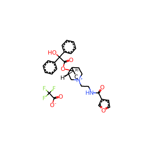 O=C(NCC[N+]12CCC(CC1)[C@@H](OC(=O)C(O)(c1ccccc1)c1ccccc1)C2)c1ccoc1.O=C([O-])C(F)(F)F